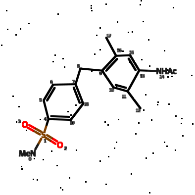 CNS(=O)(=O)c1ccc(Cc2cc(C)c(NC(C)=O)cc2C)cc1